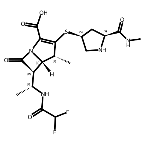 CNC(=O)[C@@H]1C[C@H](SC2=C(C(=O)O)N3C(=O)[C@H]([C@@H](C)NC(=O)C(F)F)[C@H]3[C@H]2C)CN1